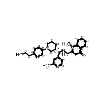 Cc1cc(C(NCc2cc(=O)c3ccccc3n2C)[C@H]2CCCN(c3ccc(CCO)nc3)C2)ccn1